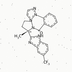 C[C@@]1(c2nc3cc(C(F)(F)F)ccc3[nH]2)CCCN1C(=O)c1ccccc1-n1nccn1